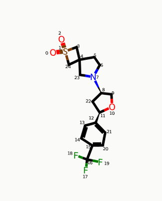 O=S1(=O)CC2(CCN([C@H]3CO[C@@H](c4ccc(C(F)(F)F)cc4)C3)C2)C1